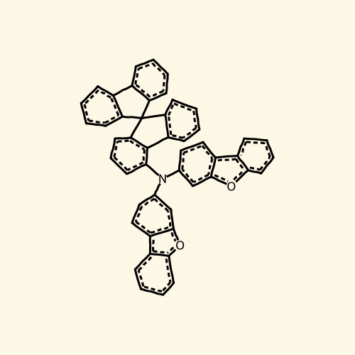 c1ccc2c(c1)-c1ccccc1C21c2ccccc2-c2c(N(c3ccc4c(c3)oc3ccccc34)c3ccc4c(c3)oc3ccccc34)cccc21